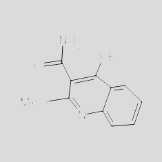 COc1nc2ccccc2c(C(F)(F)F)c1C(N)=O